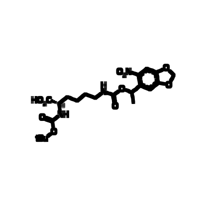 CC(OC(=O)NCCCC[C@H](NC(=O)OC(C)(C)C)C(=O)O)c1cc2c(cc1[N+](=O)[O-])OCO2